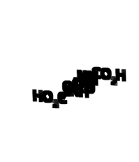 Cn1c2ccc(NC(=O)CCC(=O)O)cc2c(=O)n2nc(C(=O)O)cc12